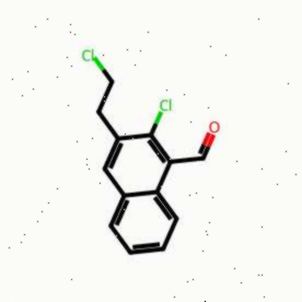 O=Cc1c(Cl)c(CCCl)cc2ccccc12